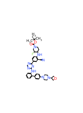 CC(C)(C)OC(=O)N1CC[C@H](Nc2ccc(-c3ncnc(Nc4ccccc4-c4ccc(N5CCN(C6COC6)CC5)cc4)n3)cc2C#N)[C@H](F)C1